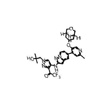 Cc1cc(-c2ccn3nc(Nc4cn(CC(C)(C)O)nc4C(=O)C(F)(F)F)cc3c2)c(O[C@H]2C[C@H]3COC[C@@H](C2)N3)cn1